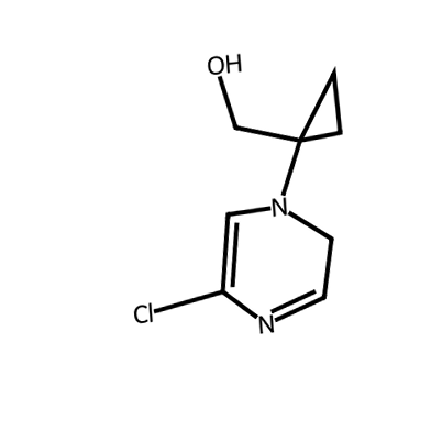 OCC1(N2C=C(Cl)N=CC2)CC1